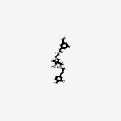 CC(CCc1ccc(Cl)c(Cl)c1)NC(=O)C1=C(O)C(=O)N(CCNC(=O)Cc2cc(F)cc(CF)c2)C1